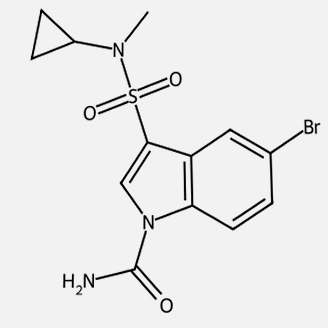 CN(C1CC1)S(=O)(=O)c1cn(C(N)=O)c2ccc(Br)cc12